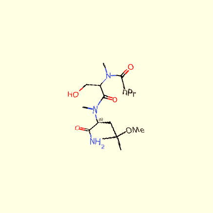 CCCC(=O)N(C)C(CO)C(=O)N(C)[C@@H](CC(C)(C)OC)C(N)=O